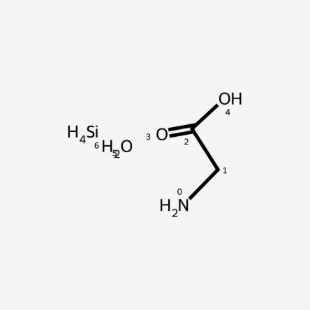 NCC(=O)O.O.[SiH4]